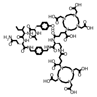 CCC(C)[C@H](NC(=O)[C@H](Cc1ccc(O)cc1)NC(C)=O)C(=O)N[C@@H](CCC(N)=O)C(=O)NCc1ccc(CNC(=O)[C@H](CCNC(=O)CCC(C(=O)O)N2CCN(CC(=O)O)CCN(CC(=O)O)CCN(CC(=O)O)CC2)NC(=O)CCC(C(=O)O)N2CCN(CC(=O)O)CCN(CC(=O)O)CCN(CC(=O)O)CC2)cc1